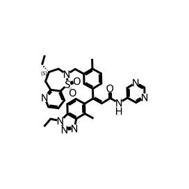 CC[C@H]1Cc2ncccc2S(=O)(=O)N(Cc2cc(C(=CC(=O)Nc3cncnc3)c3ccc4c(nnn4CC)c3C)ccc2C)C1